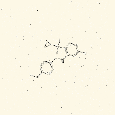 COc1ccc(CNc2cc(Cl)ncc2C(F)(F)C2CC2)cc1